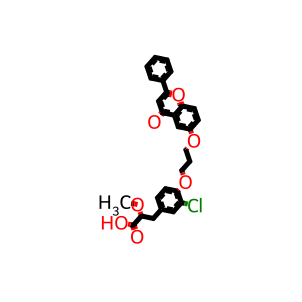 COC(Cc1ccc(OCCCOc2ccc3oc(-c4ccccc4)cc(=O)c3c2)c(Cl)c1)C(=O)O